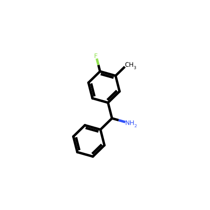 Cc1cc(C(N)c2ccccc2)ccc1F